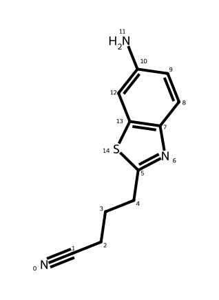 N#CCCCc1nc2ccc(N)cc2s1